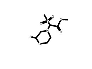 COC(=O)C(N1CCOC(Cl)C1)S(C)(=O)=O